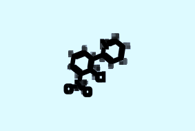 O=[N+]([O-])c1cccc(-c2ccccn2)c1Cl